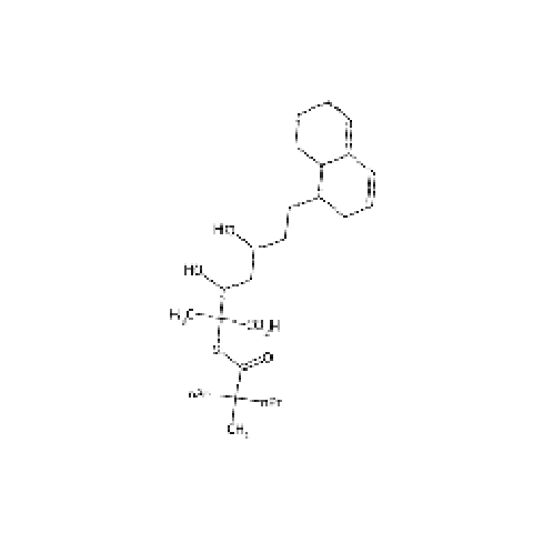 CCCC(C)(CCC)C(=O)OC(C)(C(=O)O)C(O)CC(O)CCC1CC=CC2=CCCCC21